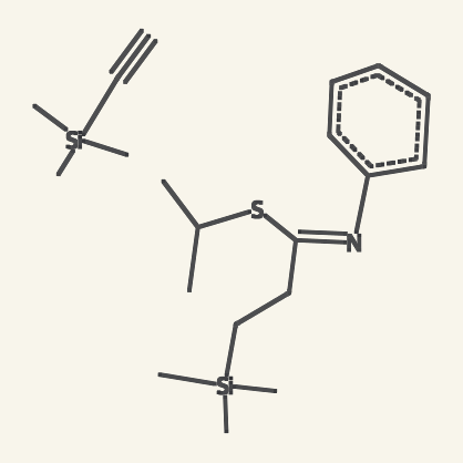 C#C[Si](C)(C)C.CC(C)SC(CC[Si](C)(C)C)=Nc1ccccc1